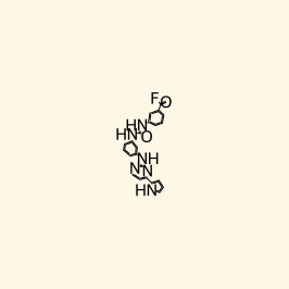 O=C(Nc1cccc(Nc2nccc(-c3ccc[nH]3)n2)c1)Nc1cccc(C(=O)F)c1